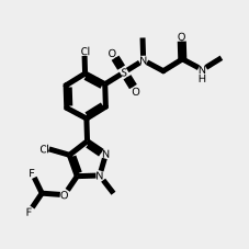 CNC(=O)CN(C)S(=O)(=O)c1cc(-c2nn(C)c(OC(F)F)c2Cl)ccc1Cl